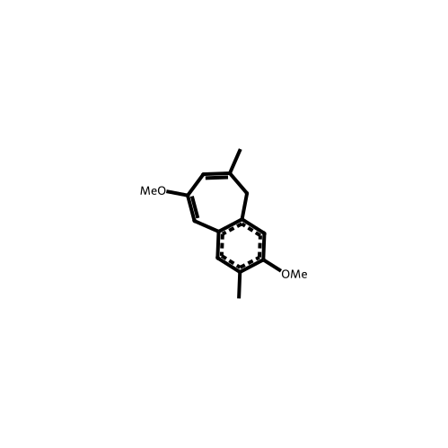 COC1=Cc2cc(C)c(OC)cc2CC(C)=C1